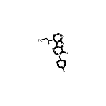 Cc1ccc(-n2cnc3c(sc4nccc(NCC(F)(F)F)c43)c2=O)cc1